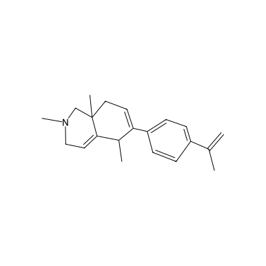 C=C(C)c1ccc(C2=CCC3(C)CN(C)CC=C3C2C)cc1